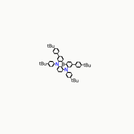 CC(C)(C)c1ccc(-c2ccc3c(c2)N(c2ccc(C(C)(C)C)cc2)c2cccc4c2B3c2ccc(-c3ccc(C(C)(C)C)cc3)cc2N4c2ccc(C(C)(C)C)cc2)cc1